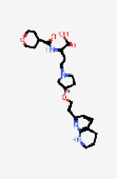 O=C(NC(CCN1CC[C@@H](OCCc2ccc3c(n2)NCCC3)C1)C(=O)O)C1CCOCC1